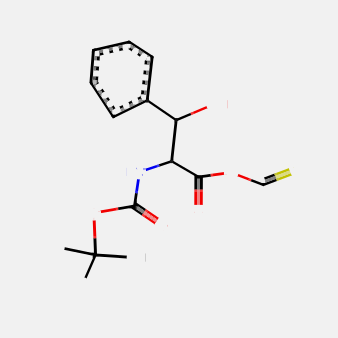 CC(C)(C)OC(=O)NC(C(=O)OC=S)C(O)c1ccccc1